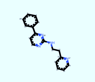 c1ccc(-c2ccnc(NCCc3ccccn3)n2)cc1